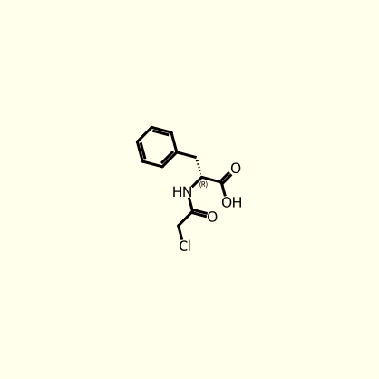 O=C(CCl)N[C@H](Cc1ccccc1)C(=O)O